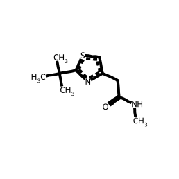 CNC(=O)Cc1csc(C(C)(C)C)n1